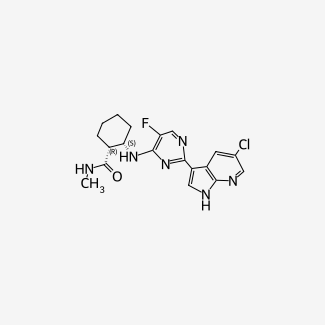 CNC(=O)[C@@H]1CCCC[C@@H]1Nc1nc(-c2c[nH]c3ncc(Cl)cc23)ncc1F